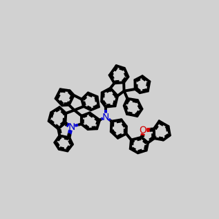 c1ccc(C2(c3ccccc3)c3ccccc3-c3ccc(N(c4ccc(-c5cccc6c5oc5ccccc56)cc4)c4ccc5c(c4)C4(c6ccccc6-c6ccccc64)c4cccc6c7ccccc7n-5c46)cc32)cc1